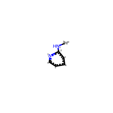 [3H]Nc1ccccn1